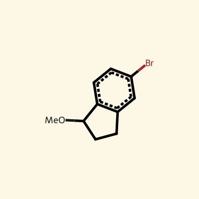 COC1CCc2cc(Br)ccc21